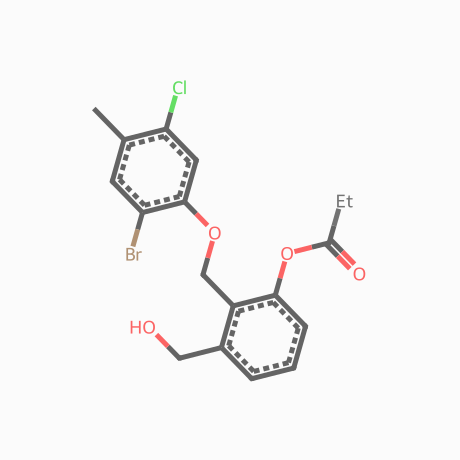 CCC(=O)Oc1cccc(CO)c1COc1cc(Cl)c(C)cc1Br